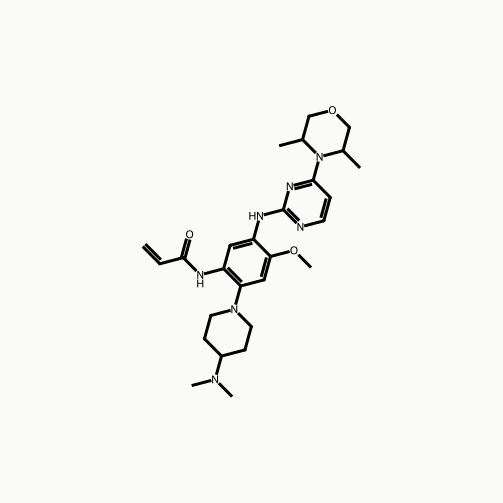 C=CC(=O)Nc1cc(Nc2nccc(N3C(C)COCC3C)n2)c(OC)cc1N1CCC(N(C)C)CC1